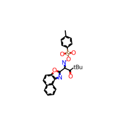 Cc1ccc(S(=O)(=O)O/N=C(\C(=O)C(C)(C)C)c2nc3c(ccc4ccccc43)o2)cc1